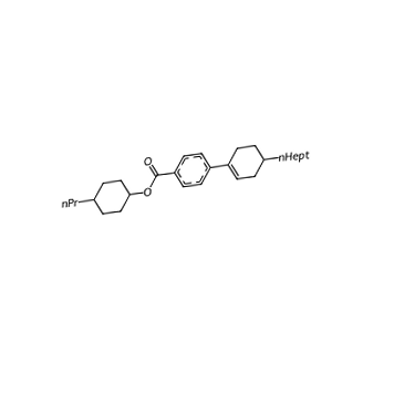 CCCCCCCC1CC=C(c2ccc(C(=O)OC3CCC(CCC)CC3)cc2)CC1